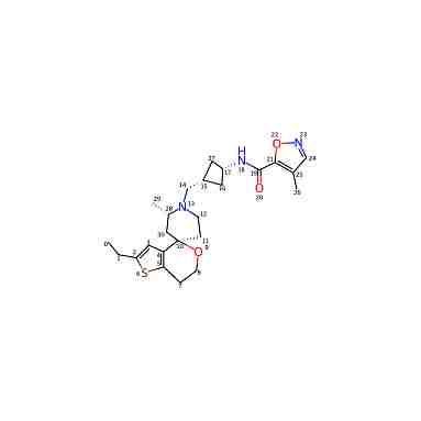 CCc1cc2c(s1)CCO[C@@]21CCN(C[C@H]2C[C@@H](NC(=O)c3oncc3C)C2)[C@@H](C)C1